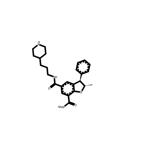 CNC(=O)c1cc(C(=O)NCCCC2CCNCC2)cc2c1O[C@@H](C)[C@@H]2c1ccccc1